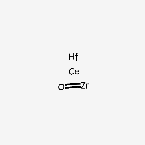 [Ce].[Hf].[O]=[Zr]